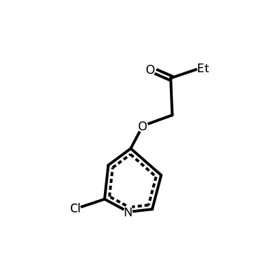 CCC(=O)COc1ccnc(Cl)c1